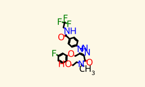 CN(CCO)C(=O)c1nnn(-c2ccc(C(=O)NCC(F)(F)F)cc2)c1COc1cccc(F)c1